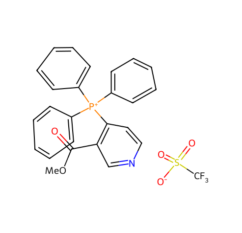 COC(=O)c1cnccc1[P+](c1ccccc1)(c1ccccc1)c1ccccc1.O=S(=O)([O-])C(F)(F)F